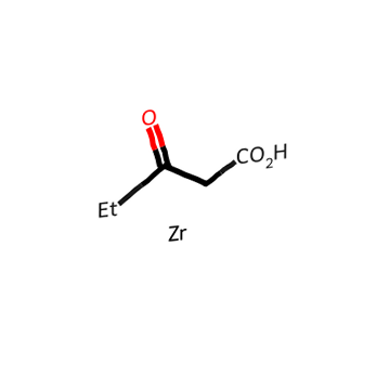 CCC(=O)CC(=O)O.[Zr]